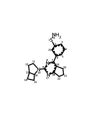 NSc1cccc(-c2nc(N3CCC4CCC43)nc3c2CCC3)c1